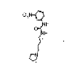 O=C(NCCCCN1CCCC1)Nc1cccc([N+](=O)[O-])c1